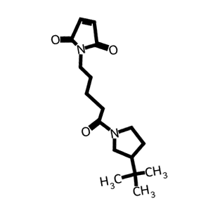 CC(C)(C)C1CCN(C(=O)CCCCN2C(=O)C=CC2=O)C1